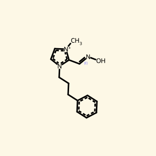 C[n+]1ccn(CCCc2ccccc2)c1/C=N/O